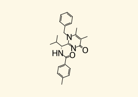 Cc1ccc(C(=O)N[C@@H](c2nc(=O)c(C)c(C)n2Cc2ccccc2)C(C)C)cc1